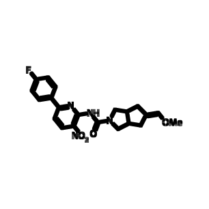 COC=C1CC2CN(C(=O)Nc3nc(-c4ccc(F)cc4)ccc3[N+](=O)[O-])CC2C1